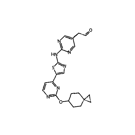 O=CCc1cnc(Nc2ncc(-c3ccnc(OC4CCC5(CC4)CC5)n3)s2)nc1